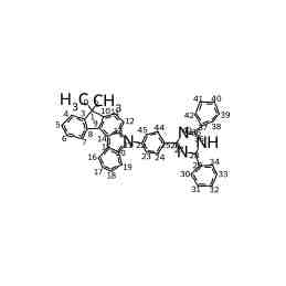 CC1(C)c2ccccc2-c2c1ccc1c2c2ccccc2n1-c1ccc(C2=NC(c3ccccc3)NC(c3ccccc3)=N2)cc1